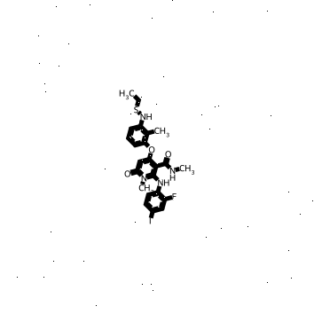 CCSNc1cccc(Oc2cc(=O)n(C)c(Nc3ccc(I)cc3F)c2C(=O)NC)c1C